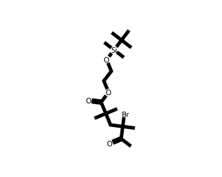 CC(=O)C(C)(Br)CC(C)(C)C(=O)OCCO[Si](C)(C)C(C)(C)C